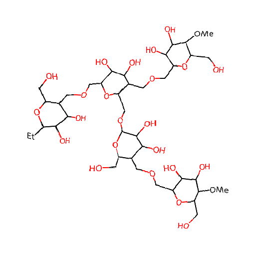 CCC1OC(CO)C(COCC2OC(COC3OC(CO)C(COCC4OC(CO)C(OC)C(O)C4O)C(O)C3O)C(COCC3OC(CO)C(OC)C(O)C3O)C(O)C2O)C(O)C1O